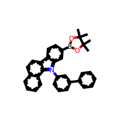 CC1(C)OB(c2ccc3c4ccc5ccccc5c4n(-c4cccc(-c5ccccc5)c4)c3c2)OC1(C)C